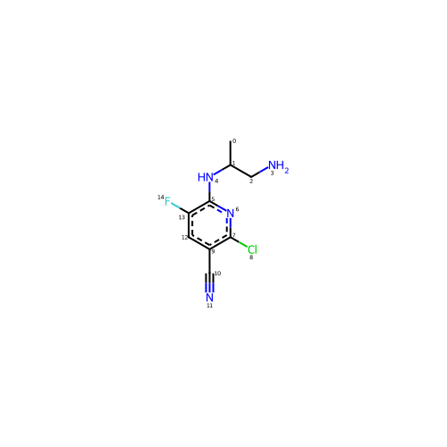 CC(CN)Nc1nc(Cl)c(C#N)cc1F